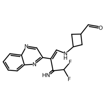 N=C(/C(=C\NC1CC(C=O)C1)c1cnc2ccccc2n1)C(F)F